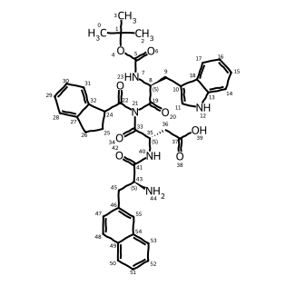 CC(C)(C)OC(=O)N[C@@H](Cc1c[nH]c2ccccc12)C(=O)N(C(=O)C1CCc2ccccc21)C(=O)[C@H](CC(=O)O)NC(=O)[C@@H](N)Cc1ccc2ccccc2c1